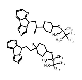 CC(C)(C)[Si](C)(C)OC1CCC(C(F)CC2c3ncccc3-c3cncn32)CC1.CC(C)(C)[Si](C)(C)OC1CCC(F)(CCC2c3ncccc3-c3cncn32)CC1